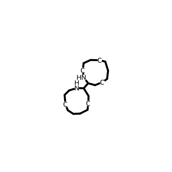 C1CCCCNC(C2CCCCCCCCCN2)CCCC1